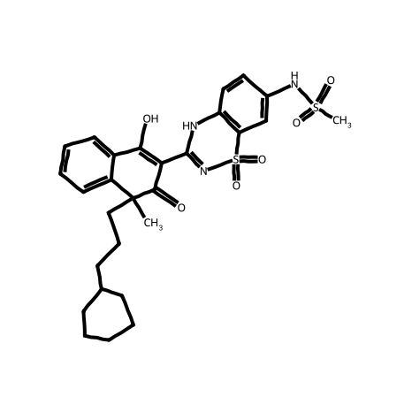 CC1(CCCC2CCCCC2)C(=O)C(C2=NS(=O)(=O)c3cc(NS(C)(=O)=O)ccc3N2)=C(O)c2ccccc21